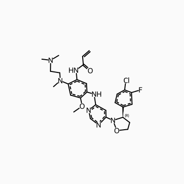 C=CC(=O)Nc1cc(Nc2cc(N3OCC[C@@H]3c3ccc(Cl)c(F)c3)ncn2)c(OC)cc1N(C)CCN(C)C